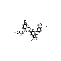 Cc1coc2c(-c3cccc(CN)c3)cc(COc3cc(F)ccc3CC(=O)O)cc12